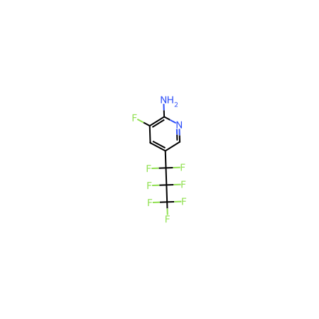 Nc1ncc(C(F)(F)C(F)(F)C(F)(F)F)cc1F